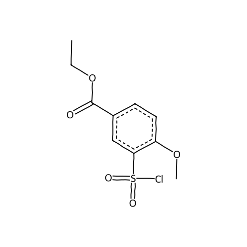 CCOC(=O)c1ccc(OC)c(S(=O)(=O)Cl)c1